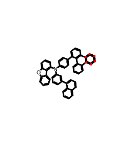 c1ccc(-c2ccccc2-c2c(-c3ccccc3)cccc2-c2ccc(N(c3cccc(-c4cccc5ccccc45)c3)c3cccc4oc5ccccc5c34)cc2)cc1